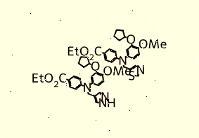 CCOC(=O)c1ccc(N(Cc2cn[nH]c2)c2ccc(OC)c(OC3CCCC3)c2)cc1.CCOC(=O)c1ccc(N(Cc2cncs2)c2ccc(OC)c(OC3CCCC3)c2)cc1